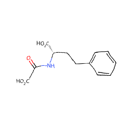 O=C(O)C(=O)N[C@@H](CCc1ccccc1)C(=O)O